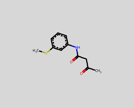 CSc1cccc(NC(=O)CC(C)=O)c1